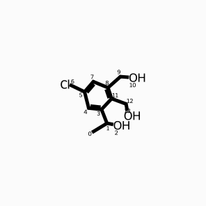 CC(O)c1cc(Cl)cc(CO)c1CO